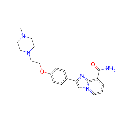 CN1CCN(CCOc2ccc(-c3cn4cccc(C(N)=O)c4n3)cc2)CC1